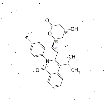 CC(C)c1c(/C=C/[C@@H]2C[C@@H](O)CC(=O)O2)n(-c2ccc(F)cc2)c(=O)c2ccccc12